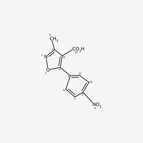 Cc1noc(-c2ccc([N+](=O)[O-])cc2)c1C(=O)O